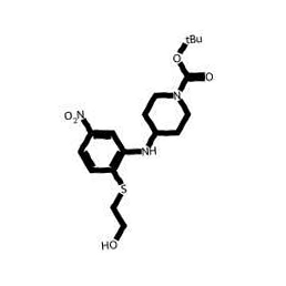 CC(C)(C)OC(=O)N1CCC(Nc2cc([N+](=O)[O-])ccc2SCCO)CC1